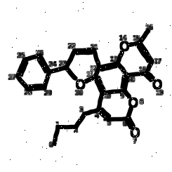 CCCCc1[c]c(=O)oc2c1c1c(c3oc(C)cc(=O)c32)C=CC(c2ccccc2)O1